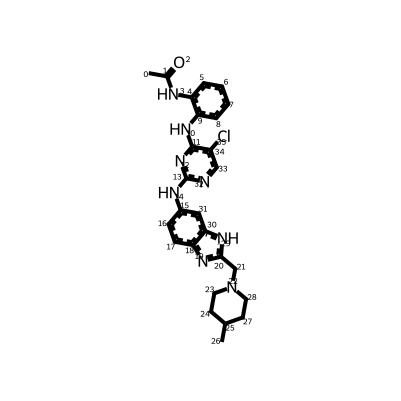 CC(=O)Nc1ccccc1Nc1nc(Nc2ccc3nc(CN4CCC(C)CC4)[nH]c3c2)ncc1Cl